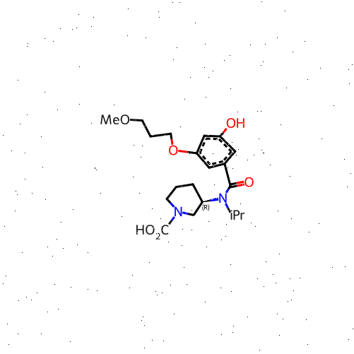 COCCCOc1cc(O)cc(C(=O)N(C(C)C)[C@@H]2CCCN(C(=O)O)C2)c1